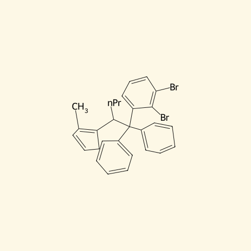 CCCC(C1=C(C)C=CC1)C(c1ccccc1)(c1ccccc1)c1cccc(Br)c1Br